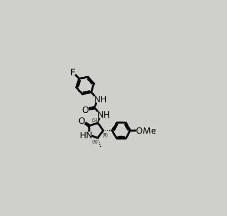 COc1ccc([C@@H]2[C@H](C)NC(=O)[C@H]2NC(=O)Nc2ccc(F)cc2)cc1